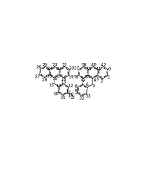 c1ccc2c(Cc3ccc(Sc4ccc(Cc5c6ccccc6cc6ccccc56)cc4)cc3)c3ccccc3cc2c1